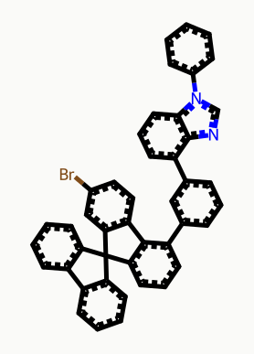 Brc1ccc2c(c1)C1(c3ccccc3-c3ccccc31)c1cccc(-c3cccc(-c4cccc5c4ncn5-c4ccccc4)c3)c1-2